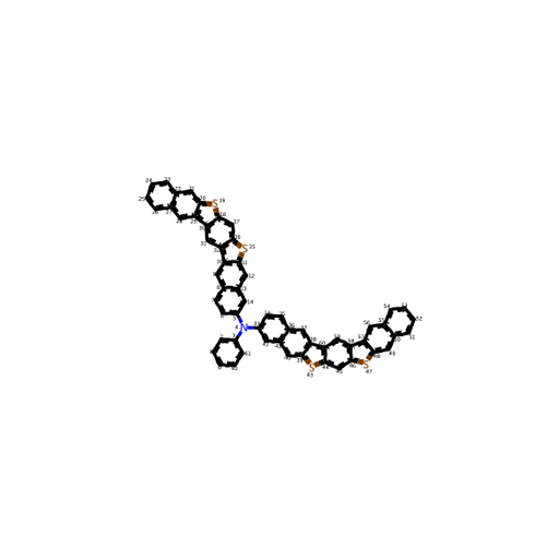 c1ccc(N(c2ccc3cc4c(cc3c2)sc2cc3sc5cc6ccccc6cc5c3cc24)c2ccc3cc4c(cc3c2)sc2cc3sc5cc6ccccc6cc5c3cc24)cc1